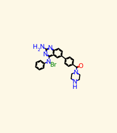 Nc1nc(N(Br)c2ccccc2)c2cc(-c3ccc(C(=O)N4CCNCC4)cc3)ccc2n1